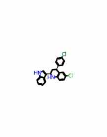 Clc1ccc([C@@H]2C[C@H](c3c[nH]c4ccccc34)Nc3ccc(Cl)cc32)cc1